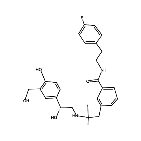 CC(C)(Cc1cccc(C(=O)NCCc2ccc(F)cc2)c1)NC[C@H](O)c1ccc(O)c(CO)c1